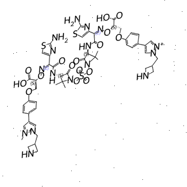 C[n+]1cc(-c2ccc(OC[C@H](O/N=C(\C(=O)N[C@@H]3C(=O)N(OS(=O)(=O)ON4C(=O)[C@@H](NC(=O)/C(=N\O[C@@H](COc5ccc(-c6cn(CC7CNC7)[n+](C)c6)cc5)C(=O)O)c5csc(N)n5)C4(C)C)C3(C)C)c3csc(N)n3)C(=O)O)cc2)cn1CC1CNC1